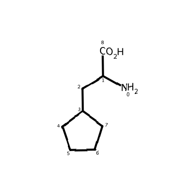 NC(CC1CCCC1)C(=O)O